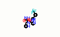 NC(=O)C(=O)C(Cc1ccccc1)NC(=O)c1cccnc1-n1ccc(-c2cccc(C(F)(F)F)c2)n1